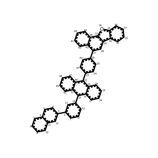 c1cc(-c2ccc3ccccc3c2)cc(-c2c3ccccc3c(-c3ccc(-c4cc5c6ccccc6oc5c5ccccc45)cc3)c3ccccc23)c1